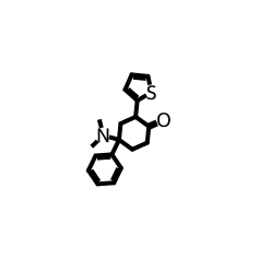 CN(C)C1(c2ccccc2)CCC(=O)C(c2cccs2)C1